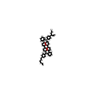 C=C/C=C\C=C\c1ccc(N(c2ccc(-c3ccccc3)cc2)c2ccccc2-c2ccc(-c3ccc(N(c4ccccc4)c4ccc(/C(C=C)=C/C=C)cc4)cc3)cc2)cc1